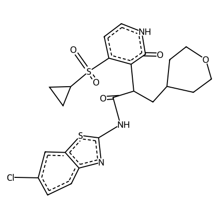 O=C(Nc1nc2ccc(Cl)cc2s1)C(CC1CCOCC1)c1c(S(=O)(=O)C2CC2)cc[nH]c1=O